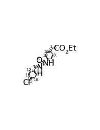 CCOC(=O)Cc1ccc(NC(=O)NCc2ccc(Cl)cc2)cc1